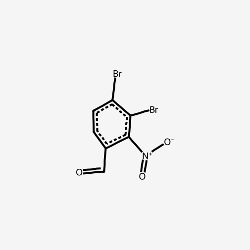 O=Cc1ccc(Br)c(Br)c1[N+](=O)[O-]